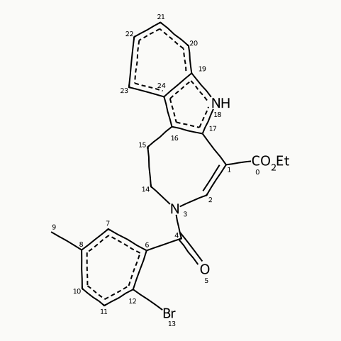 CCOC(=O)C1=CN(C(=O)c2cc(C)ccc2Br)CCc2c1[nH]c1ccccc21